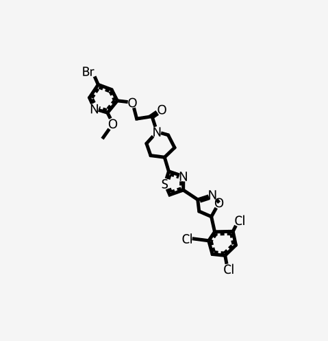 COc1ncc(Br)cc1OCC(=O)N1CCC(c2nc(C3=NOC(c4c(Cl)cc(Cl)cc4Cl)C3)cs2)CC1